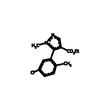 CCOC(=O)c1cnn(C)c1-c1cc(Cl)ccc1C